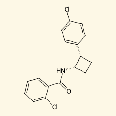 O=C(N[C@H]1CC[C@H]1c1ccc(Cl)cc1)c1ccccc1Cl